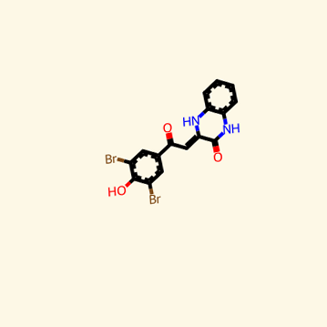 O=C1Nc2ccccc2N/C1=C\C(=O)c1cc(Br)c(O)c(Br)c1